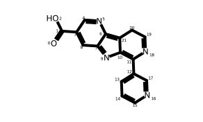 O=C(O)c1cnc2c(c1)=NC1=C(c3cccnc3)N=CCC=21